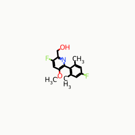 COc1cc(F)c(CO)nc1-c1c(C)cc(F)cc1C